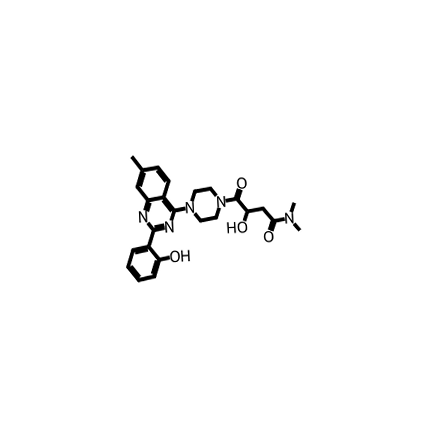 Cc1ccc2c(N3CCN(C(=O)C(O)CC(=O)N(C)C)CC3)nc(-c3ccccc3O)nc2c1